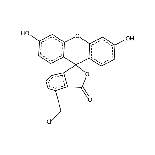 O=C1OC2(c3ccc(O)cc3Oc3cc(O)ccc32)c2cccc(CCl)c21